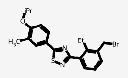 CCc1c(CBr)cccc1-c1nsc(-c2ccc(OC(C)C)c(C)c2)n1